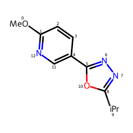 COc1ccc(-c2nnc(C(C)C)o2)cn1